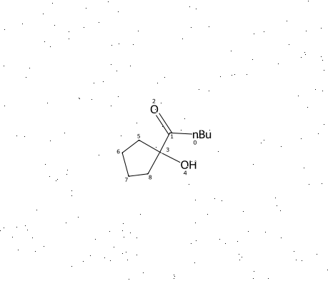 CCCCC(=O)C1(O)CCCC1